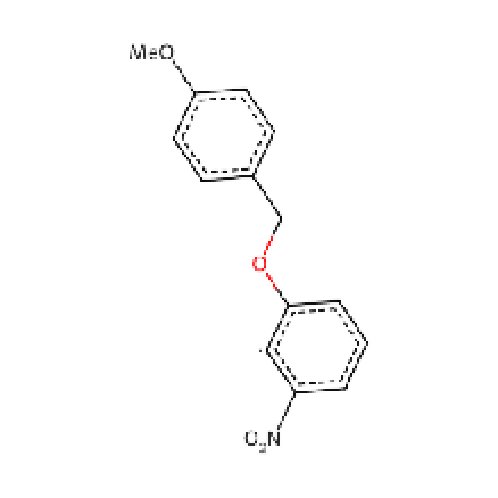 COc1ccc(COc2[c]c([N+](=O)[O-])ccc2)cc1